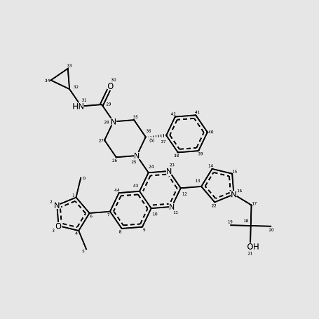 Cc1noc(C)c1-c1ccc2nc(-c3ccn(CC(C)(C)O)c3)nc(N3CCN(C(=O)NC4CC4)C[C@@H]3c3ccccc3)c2c1